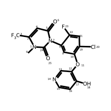 Cn1c(C(F)(F)F)cc(=O)n(-c2cc(Oc3cnccc3O)c(Cl)cc2F)c1=O